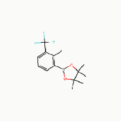 Cc1c(B2OC(C)(C)C(C)(C)O2)cccc1C(F)(F)F